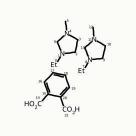 CCN1CCN(C)C1.CCN1CCN(C)C1.O=C(O)c1ccccc1C(=O)O